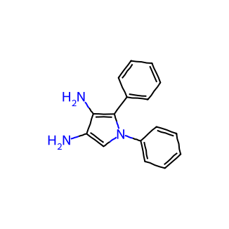 Nc1cn(-c2ccccc2)c(-c2ccccc2)c1N